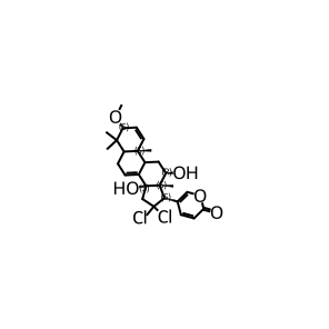 CO[C@H]1C=C[C@]2(C)C3C[C@@H](O)[C@]4(C)[C@@H](c5ccc(=O)oc5)C(Cl)(Cl)C[C@]4(O)C3=CCC2C1(C)C